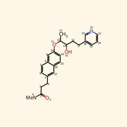 CNC(=O)CCc1ccc2cc(OC(C)C(O)CCc3cccnc3)ccc2c1